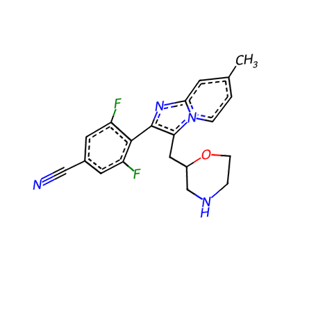 Cc1ccn2c(CC3CNCCO3)c(-c3c(F)cc(C#N)cc3F)nc2c1